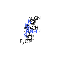 CC(Nc1ncnc2c(C(F)(F)F)cccc12)c1ncnn1-c1ccc(C#N)cn1